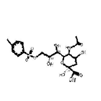 CC(=O)NC1C(O)C[C@@](O)(C(=O)O)OC1[C@H](O)[C@H](O)COS(=O)(=O)c1ccc(C)cc1